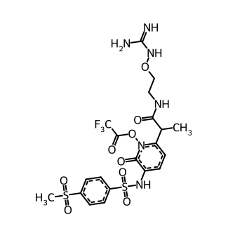 CC(C(=O)NCCONC(=N)N)c1ccc(NS(=O)(=O)c2ccc(S(C)(=O)=O)cc2)c(=O)n1OC(=O)C(F)(F)F